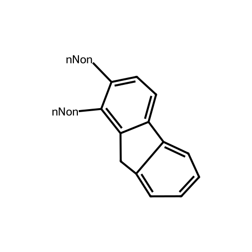 CCCCCCCCCc1ccc2c(c1CCCCCCCCC)Cc1ccccc1-2